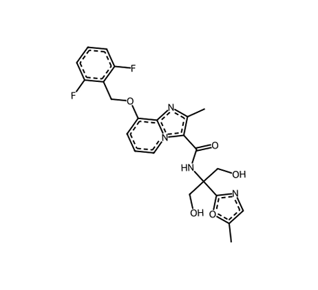 Cc1cnc(C(CO)(CO)NC(=O)c2c(C)nc3c(OCc4c(F)cccc4F)cccn23)o1